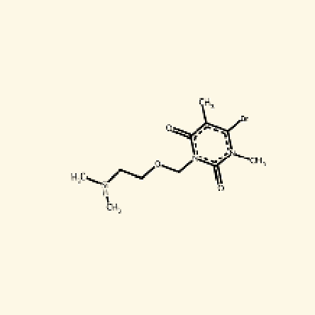 Cc1c(Br)n(C)c(=O)n(COCC[SiH](C)C)c1=O